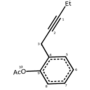 CCC#C[CH]c1ccccc1OC(C)=O